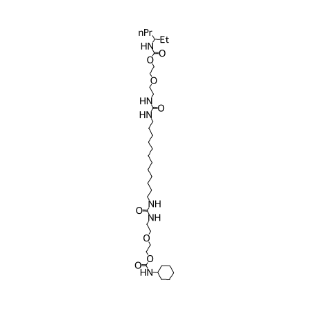 CCCC(CC)NC(=O)OCCOCCNC(=O)NCCCCCCCCCCCCNC(=O)NCCOCCOC(=O)NC1CCCCC1